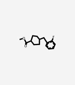 COC(=O)C1CCC(Cc2ccccc2F)CC1